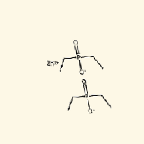 CCP(=O)([O-])CC.CCP(=O)([O-])CC.[Zn+2]